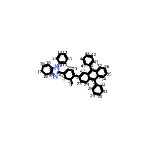 CC1CC(c2nc3c(n2-c2ccccc2)C=CCC3)=CC=C1c1ccc2c(-c3ccccc3)c3ccccc3c(-c3ccccc3)c2c1